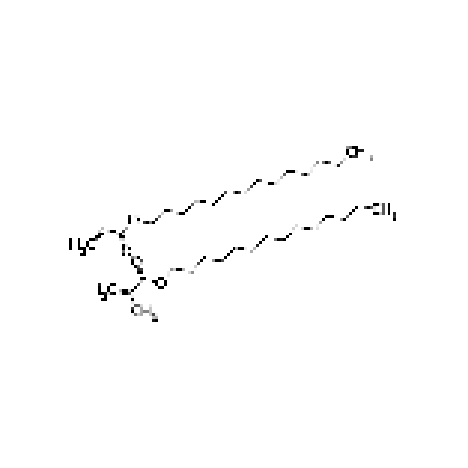 C=C(C)C(=O)OCCCCCCCCCCCCCC.C=CC(=O)OCCCCCCCCCCCCCC